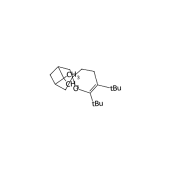 CC(C)(C)C1=C(C(C)(C)C)OC2(CC1)CC1CC(C2)C1(C)C